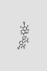 N#Cc1ccc(N2C[C@@H](C(=O)Nc3c(F)c(F)c(C#N)c(F)c3F)O[C@@H]2C(F)(F)F)cc1C(F)(F)F